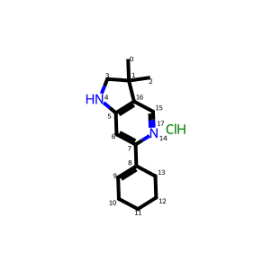 CC1(C)CNc2cc(C3=CCCCC3)ncc21.Cl